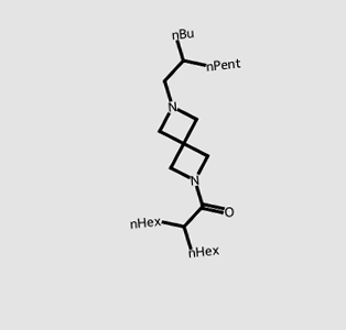 CCCCCCC(CCCCCC)C(=O)N1CC2(CN(CC(CCCC)CCCCC)C2)C1